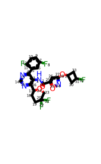 O=C(Nc1c(-c2cc(F)ccc2F)ncnc1C1CCC(F)(F)CO1)c1cc(OC2CC(F)C2)no1